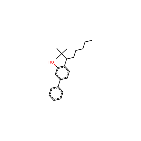 CCCCCC(c1ccc(-c2ccccc2)cc1O)C(C)(C)C